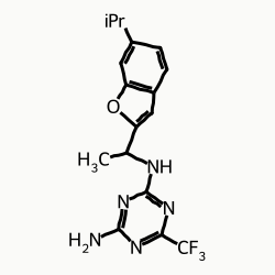 CC(C)c1ccc2cc(C(C)Nc3nc(N)nc(C(F)(F)F)n3)oc2c1